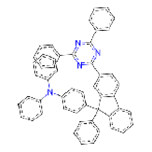 c1ccc(-c2nc(-c3ccccc3)nc(-c3ccc4c(c3)C(c3ccccc3)(c3ccc(N(c5ccccc5)c5ccccc5)cc3)c3ccccc3-4)n2)cc1